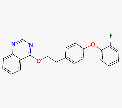 Fc1ccccc1Oc1ccc(CCOc2ncnc3ccccc23)cc1